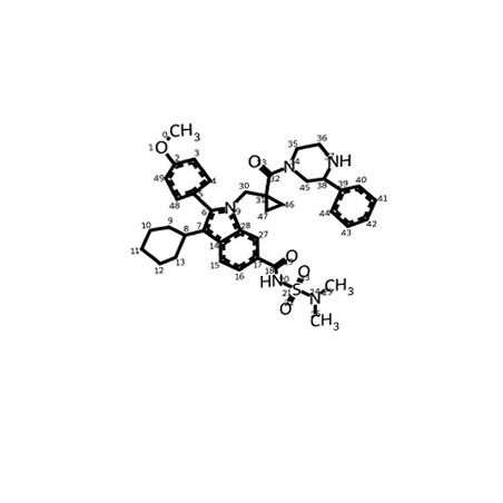 COc1ccc(-c2c(C3CCCCC3)c3ccc(C(=O)NS(=O)(=O)N(C)C)cc3n2CC2(C(=O)N3CCNC(c4ccccc4)C3)CC2)cc1